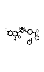 O=C(c1ccc(-n2cc(-c3cc4cc(F)ccc4[nH]c3=O)nn2)cc1)N1CCC[C@@H]1CN1CCCC1